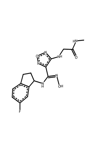 CNC(=O)CNc1nonc1/C(=N/O)NC1CCc2ccc(F)cc21